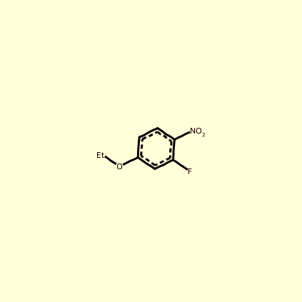 CCOc1ccc([N+](=O)[O-])c(F)c1